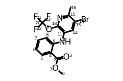 COC(=O)c1ccccc1Nc1cc(Br)c(C)nc1OC(F)(F)F